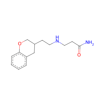 NC(=O)CCNCCC1COc2ccccc2C1